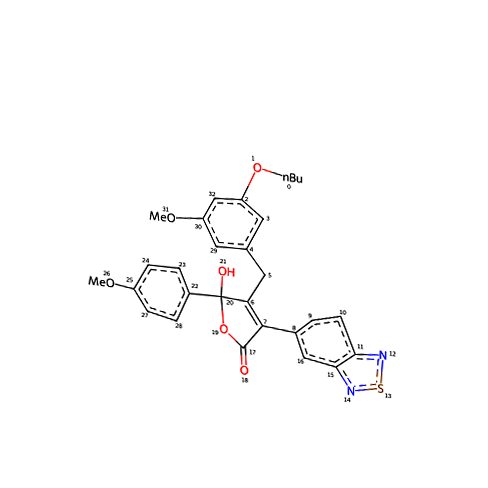 CCCCOc1cc(CC2=C(c3ccc4nsnc4c3)C(=O)OC2(O)c2ccc(OC)cc2)cc(OC)c1